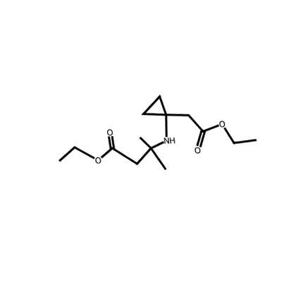 CCOC(=O)CC(C)(C)NC1(CC(=O)OCC)CC1